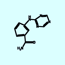 NC(=O)c1cccc(Nc2ncncn2)c1